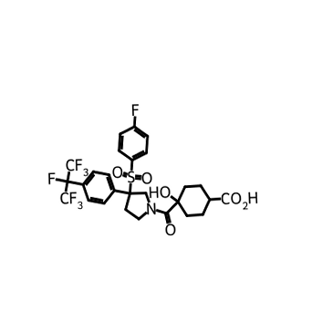 O=C(O)C1CCC(O)(C(=O)N2CCC(c3ccc(C(F)(C(F)(F)F)C(F)(F)F)cc3)(S(=O)(=O)c3ccc(F)cc3)C2)CC1